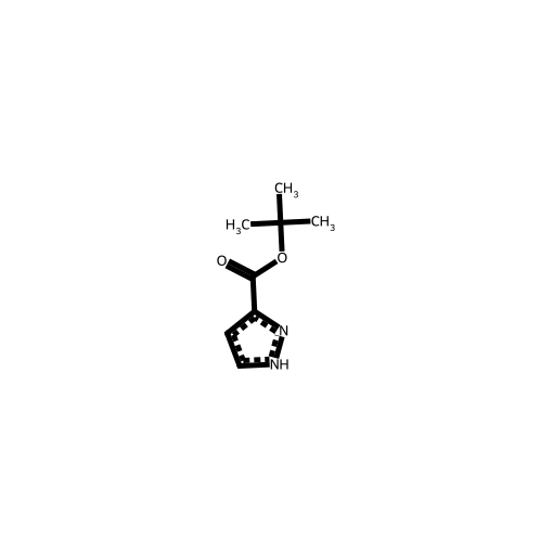 CC(C)(C)OC(=O)c1cc[nH]n1